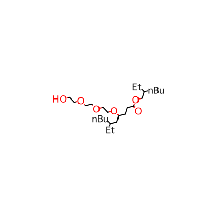 CCCCC(CC)COC(=O)CCC(CC(CC)CCCC)OCCOCCOCCO